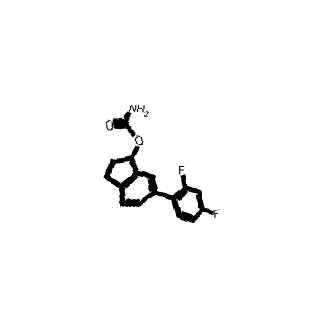 NC(=O)OC1CCc2ccc(-c3ccc(F)cc3F)cc21